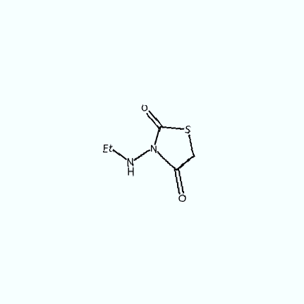 [CH2]CNN1C(=O)CSC1=O